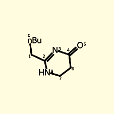 CCCCCC1=NC(=O)CCN1